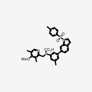 COc1c(C)cnc(CN(C(=O)O)c2cc(C)cc(-c3ccc4ccn(S(=O)(=O)c5ccc(C)cc5)c4c3)c2)c1C